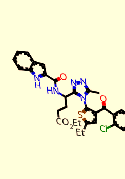 CCOC(=O)CCC(NC(=O)c1cc2ccccc2[nH]1)c1nnc(C)n1-c1sc(CC)cc1C(=O)c1ccccc1Cl